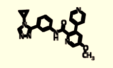 COc1cnc(C(=O)Nc2cccc(-c3nncn3C3CC3)c2)c(-c2ccncc2)c1